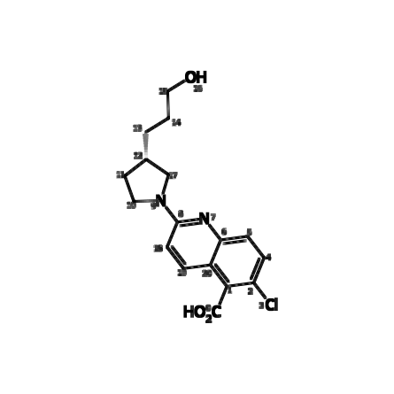 O=C(O)c1c(Cl)ccc2nc(N3CC[C@H](CCCO)C3)ccc12